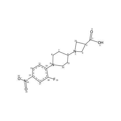 O=C(O)C1CN(C2CCN(c3ccc([N+](=O)[O-])cc3F)CC2)C1